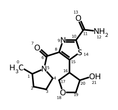 CC1CCCN1C(=O)c1nc(C(N)=O)sc1C1COCC1O